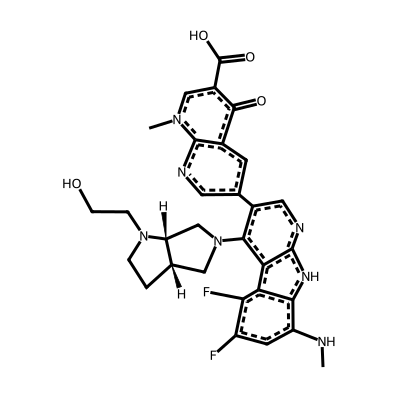 CNc1cc(F)c(F)c2c1[nH]c1ncc(-c3cnc4c(c3)c(=O)c(C(=O)O)cn4C)c(N3C[C@@H]4CCN(CCO)[C@@H]4C3)c12